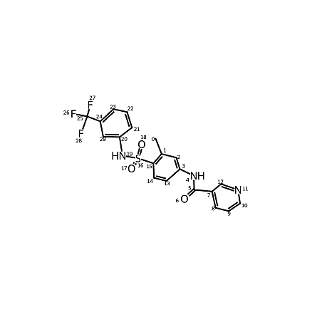 Cc1cc(NC(=O)c2cccnc2)ccc1S(=O)(=O)Nc1cccc(C(F)(F)F)c1